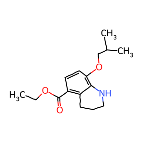 CCOC(=O)c1ccc(OCC(C)C)c2c1CCCN2